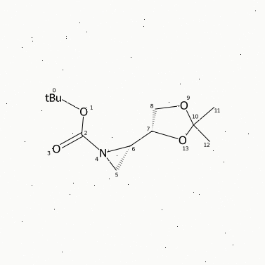 CC(C)(C)OC(=O)N1C[C@H]1[C@@H]1COC(C)(C)O1